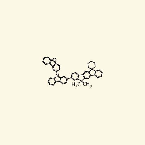 CC1(C)c2cc(-c3ccc4c5ccccc5n(-c5ccc6oc7ccccc7c6c5)c4c3)ccc2-c2cc3c(cc21)-c1ccccc1C31CCCCC1